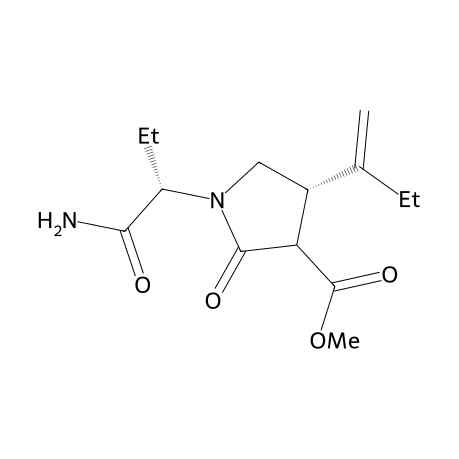 C=C(CC)[C@H]1CN([C@@H](CC)C(N)=O)C(=O)C1C(=O)OC